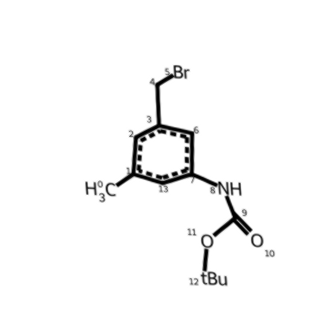 Cc1cc(CBr)cc(NC(=O)OC(C)(C)C)c1